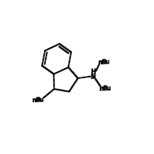 CCCCC1CC([SiH](CCCC)CCCC)C2C=CC=CC12